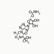 C[C@@H](O)[C@H](N)C(=O)N(C)c1ncnc2c1ncn2[C@@H]1O[C@H](COC(N)=O)[C@@H](O)[C@H]1O